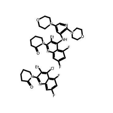 CCc1c(N2CCCCC2=O)nc2cc(F)cc(F)c2c1Cl.CCc1c(N2CCCCC2=O)nc2cc(F)cc(F)c2c1Nc1cc(N2CCOCC2)cnc1N1CCOCC1